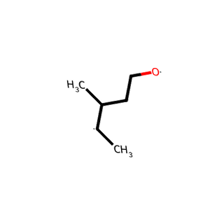 C[CH]C(C)CC[O]